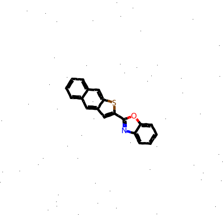 c1ccc2cc3sc(-c4nc5ccccc5o4)cc3cc2c1